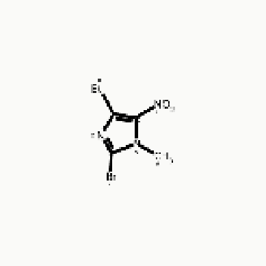 CCc1nc(Br)n(C)c1[N+](=O)[O-]